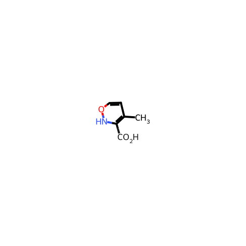 CC1=C(C(=O)O)NOC=C1